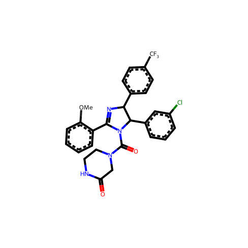 COc1ccccc1C1=NC(c2ccc(C(F)(F)F)cc2)C(c2cccc(Cl)c2)N1C(=O)N1CCNC(=O)C1